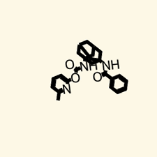 Cc1cccc(OC(=O)NC23CC4CC(C2)CC(NC(=O)c2ccccc2)(C4)C3)n1